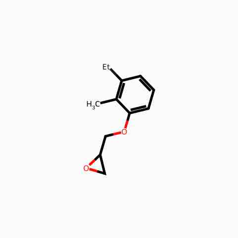 CCc1cccc(OCC2CO2)c1C